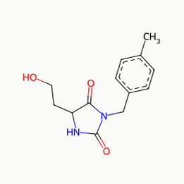 Cc1ccc(CN2C(=O)NC(CCO)C2=O)cc1